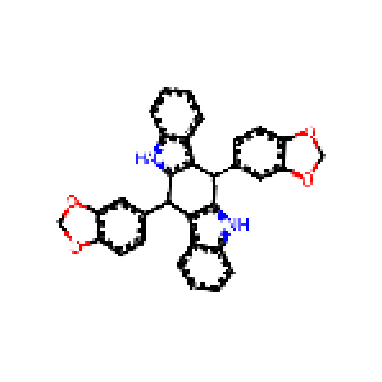 c1ccc2c3c([nH]c2c1)C(c1ccc2c(c1)OCO2)c1c([nH]c2ccccc12)C3c1ccc2c(c1)OCO2